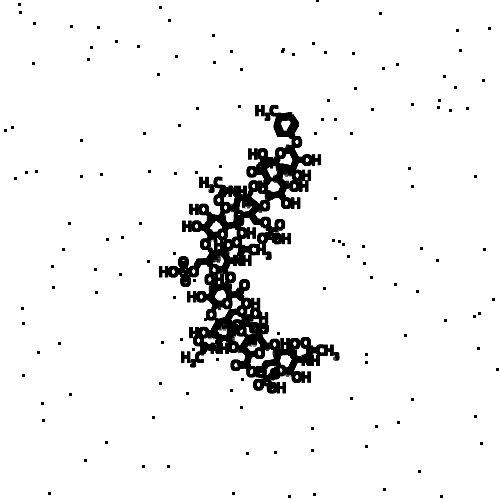 CC(=O)NC1[C@H](O[C@H]2C(C(=O)O)O[C@@H](O[C@@H]3C(COS(=O)(=O)O)O[C@@H](O[C@H]4C(C(=O)O)O[C@@H](O[C@@H]5C(COS(=O)(=O)O)O[C@@H](O[C@H]6C(C(=O)O)O[C@@H](O[C@@H]7C(COS(=O)(=O)O)O[C@@H](O)C(NC(C)=O)[C@H]7O)C(O)[C@H]6O)C(NC(C)=O)[C@H]5O)C(O)[C@H]4O)C(NC(C)=O)[C@H]3O)C(O)[C@H]2O)OC(COS(=O)(=O)O)[C@@H](O[C@@H]2OC(C(=O)O)[C@H]([C@@H]3C(C(=O)O)O[C@@H](Oc4ccc(C)cc4)C(O)[C@H]3O)[C@H](O)C2O)[C@@H]1O